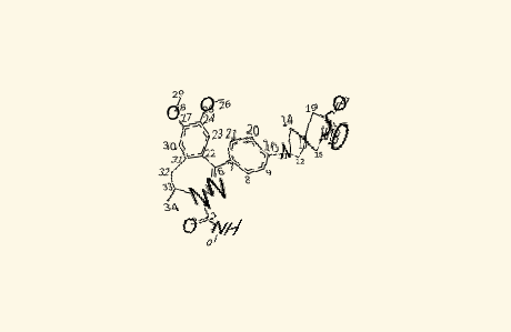 CNC(=O)N1N=C(c2ccc(N3CC4(C3)CS(=O)(=O)C4)cc2)c2cc(OC)c(OC)cc2CC1C